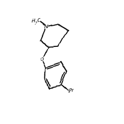 CC(C)c1ccc(OC2CCCN(C)C2)cc1